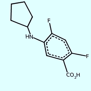 O=C(O)c1cc(NC2CCCC2)c(F)cc1F